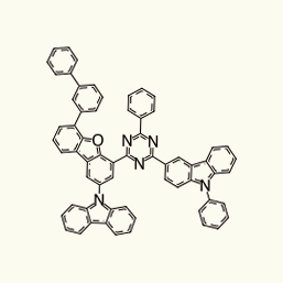 c1ccc(-c2cccc(-c3cccc4c3oc3c(-c5nc(-c6ccccc6)nc(-c6ccc7c(c6)c6ccccc6n7-c6ccccc6)n5)cc(-n5c6ccccc6c6ccccc65)cc34)c2)cc1